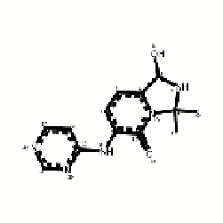 CC1(C)NC(O)c2ccc(Nc3ccncn3)c(=O)n21